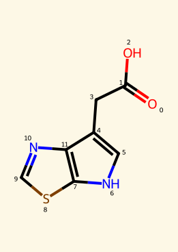 O=C(O)Cc1c[nH]c2scnc12